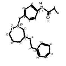 CCC(=O)Nc1ccc(CN2C[C@@H](CCc3ccccc3)CCCO2)cc1